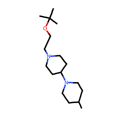 CC1CCN(C2CCN(CCOC(C)(C)C)CC2)CC1